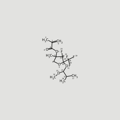 C=C(C)C(=O)OC1(C)COC(OC(OC)C(C)C)(C(F)(F)F)C1(F)F